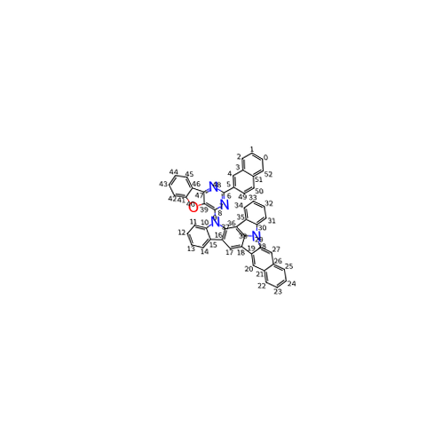 c1ccc2cc(-c3nc(-n4c5ccccc5c5cc6c7cc8ccccc8cc7n7c8ccccc8c(c54)c67)c4oc5ccccc5c4n3)ccc2c1